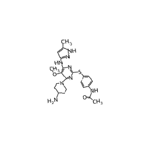 COc1c(Nc2cc(C)[nH]n2)nc(Sc2ccc(NC(C)=O)cc2)nc1N1CCC(N)CC1